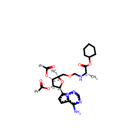 CC(C)C(=O)O[C@H]1[C@H](c2ccc3c(N)ncnn23)O[C@](C#N)(COCN[C@@H](C)C(=O)OC2CCCCC2)[C@H]1OC(=O)C(C)C